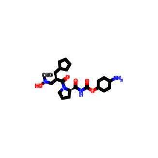 NC1CCC(OC(=O)NC(=O)[C@@H]2CCCN2C(=O)[C@H](CC2CCCC2)CN(O)C=O)CC1